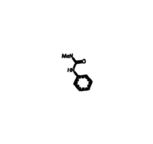 CNC(=O)Nc1cc[c]cc1